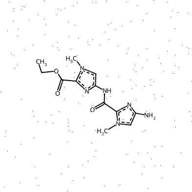 CCOC(=O)c1nc(NC(=O)c2nc(N)cn2C)cn1C